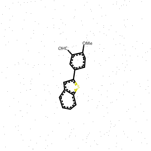 COc1ccc(-c2cc3ccccc3s2)cc1C=O